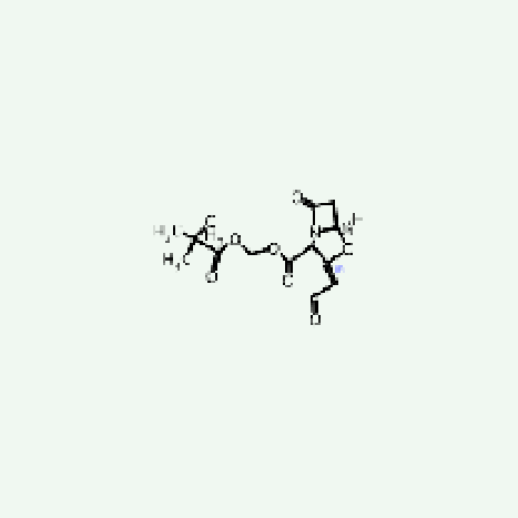 CC(C)(C)C(=O)OCOC(=O)C1/C(=C\C=O)O[C@@H]2CC(=O)N12